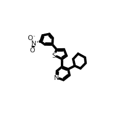 O=[N+]([O-])c1cccc(-c2ccc(-c3cnccc3C3CCCCC3)s2)c1